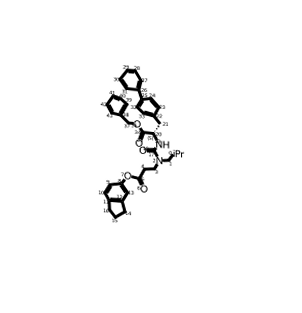 CC(C)CN(CCC(=O)Oc1ccc2c(c1)CCC2)C(=O)N[C@@H](Cc1ccc(-c2ccccc2)cc1)C(=O)OCc1ccccc1